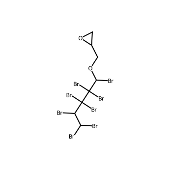 BrC(Br)C(Br)C(Br)(Br)C(Br)(Br)C(Br)OCC1CO1